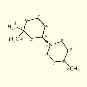 CC1CCN([C@@H]2CCCC(C)(C)C2)CC1